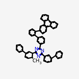 CC1C=CC(c2ccccc2)=CC1c1nc(-c2cccc(-c3ccccc3)c2)nc(-c2cccc(-c3ccccc3-c3ccc4c5ccccc5c5ccccc5c4c3)c2)n1